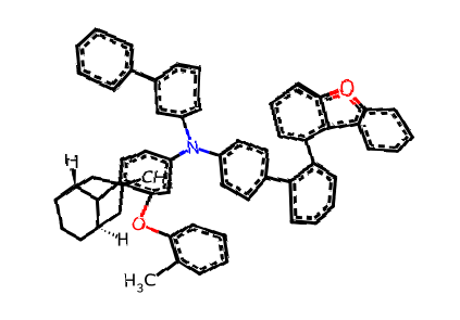 Cc1ccccc1Oc1cc(N(c2ccc(-c3ccccc3-c3cccc4oc5ccccc5c34)cc2)c2cccc(-c3ccccc3)c2)ccc1C1[C@@H]2CCC[C@@H]1CC(C)C2